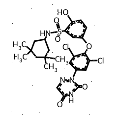 CC1(C)CC(NS(=O)(=O)c2cc(Oc3c(Cl)cc(-n4ncc(=O)[nH]c4=O)cc3Cl)ccc2O)CC(C)(C)C1